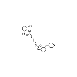 CC(C)c1cccc(C(C)C)c1NC(=O)CCCCCSc1nc2cccc(CN3CCOCC3)c2o1